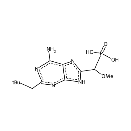 COC(c1nc2c(N)nc(CC(C)(C)C)nc2[nH]1)P(=O)(O)O